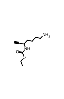 C#CC(CCCCN)NC(=O)OCC